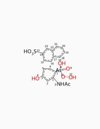 CC(=O)Nc1cc(O)ccc1[As](=O)(O)OO.O=S(=O)(O)c1ccc2ccccc2c1